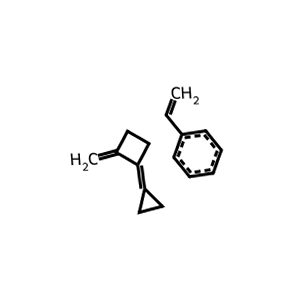 C=C1CCC1=C1CC1.C=Cc1ccccc1